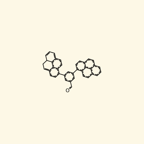 O=Cc1cc(-c2ccc3c4c5c(ccc24)=CC=CC5CC=3)cc(-c2ccc3ccc4cccc5ccc2c3c45)c1